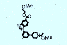 COCCOC(=O)c1ccc2c(c1)ncn2-c1cccc(C2CCN(C(C)OC)CC2)c1